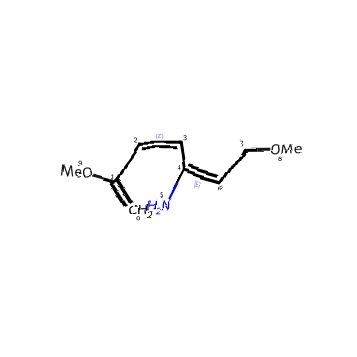 C=C(/C=C\C(N)=C/COC)OC